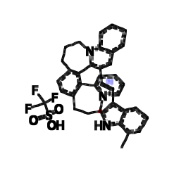 Cc1cccc2c(/C=C/c3cc4ccccc4[n+]4c3-c3c(ccc5c3-c3cccc[n+]3CCC5)CCC4)c[nH]c12.O=S(=O)(O)C(F)(F)F